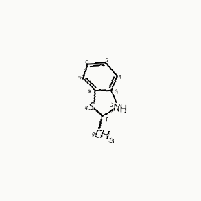 C[C@@H]1Nc2ccccc2S1